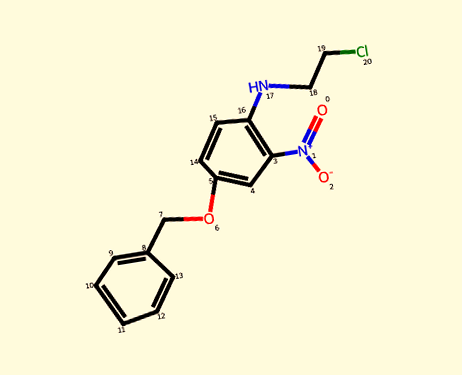 O=[N+]([O-])c1cc(OCc2ccccc2)ccc1NCCCl